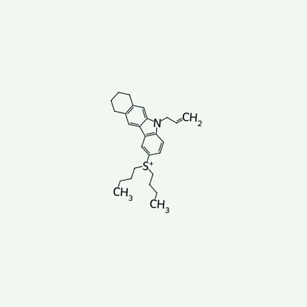 C=CCn1c2ccc([S+](CCCC)CCCC)cc2c2cc3c(cc21)CCCC3